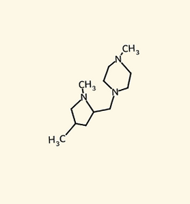 CC1CC(CN2CCN(C)CC2)N(C)C1